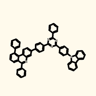 c1ccc(-c2nc(-c3ccc(-c4ccc5c(c4)nc(-c4ccccc4)c4cccc(-c6ccccc6)c45)cc3)nc(-c3ccc(-n4c5ccccc5c5ccccc54)cc3)n2)cc1